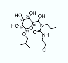 CCCN(C(=O)NCCCl)C(O)[C@H]1O[C@H](OCC(C)C)[C@H](O)[C@@H](O)[C@@H]1O